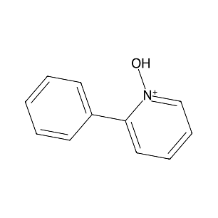 O[n+]1ccccc1-c1ccccc1